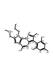 CCCn1c(COC)cc2c(C)nc3c(-c4c(C)cc(C)cc4C)c(C)nn3c21